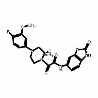 COc1cc(N2CCN(C(=O)C(=O)Nc3ccc4[nH]c(=O)oc4c3)[C@H](C)C2)ccc1F